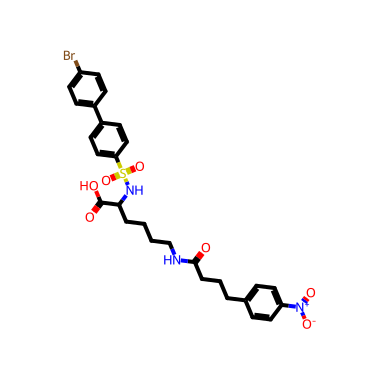 O=C(CCCc1ccc([N+](=O)[O-])cc1)NCCCCC(NS(=O)(=O)c1ccc(-c2ccc(Br)cc2)cc1)C(=O)O